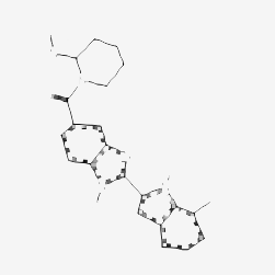 CCn1c(-c2nc3cc(C(=O)N4CCCCC4NC(=O)O)ccc3n2C)cc2cccc(C)c21